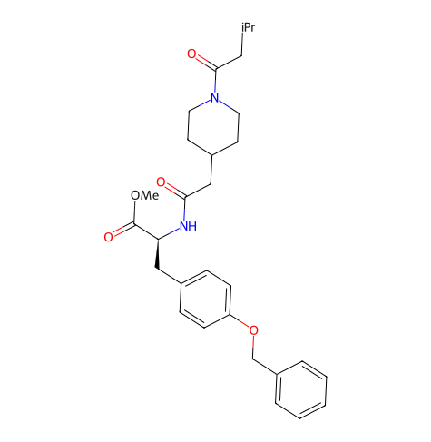 COC(=O)[C@H](Cc1ccc(OCc2ccccc2)cc1)NC(=O)CC1CCN(C(=O)CC(C)C)CC1